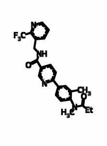 CCC(=O)N(C)c1ccc(-c2ccc(C(=O)NCc3cccnc3C(F)(F)F)cn2)cc1C